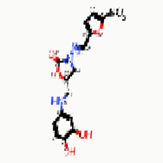 O=C1O[C@@H](CNc2ccc(O)c(O)c2)CN1/N=C/c1ccc([N+](=O)[O-])o1